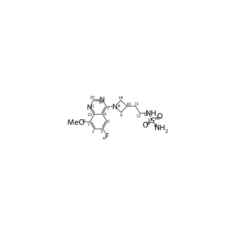 COc1cc(F)cc2c(N3CC(CCNS(N)(=O)=O)C3)ncnc12